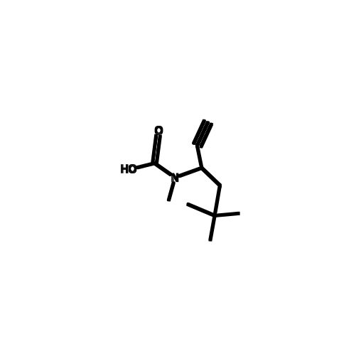 C#CC(CC(C)(C)C)N(C)C(=O)O